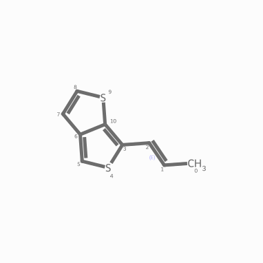 C/C=C/c1scc2ccsc12